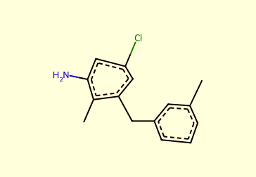 Cc1cccc(Cc2cc(Cl)cc(N)c2C)c1